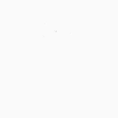 CCCCOc1cccc(OS(=O)(=O)c2ccc(NC(=O)COC)c(NC(=N)NC(=O)OC)c2)c1